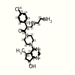 C[C@@H]1C[C@@H](O)c2ncnc(N3CCN(C(=O)[C@H](CNCCN)c4ccc(Cl)cc4)CC3)c21